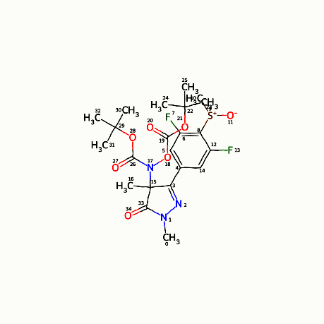 CN1N=C(c2cc(F)c([S+](C)[O-])c(F)c2)C(C)(N(OC(=O)OC(C)(C)C)C(=O)OC(C)(C)C)C1=O